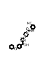 N#Cc1cccc(NC(=O)N2CCN(c3nc(C(O)c4ccc(Oc5ccccc5)cc4)ns3)CC2)c1